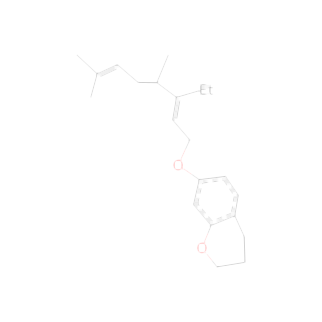 CC/C(=C\COc1ccc2c(c1)OCCC2)C(C)CC=C(C)C